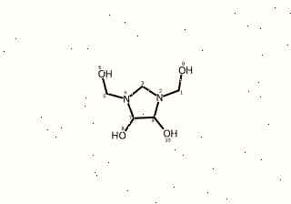 OCN1CN(CO)C(O)C1O